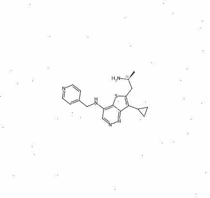 C[C@H](N)Cc1sc2c(NCc3ccncc3)cnnc2c1C1CC1